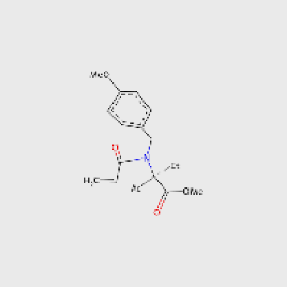 C=CC(=O)N(Cc1ccc(OC)cc1)[C@](CC)(C(C)=O)C(=O)OC